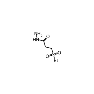 CCS(=O)(=O)CCC(=O)NN